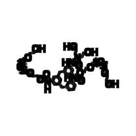 C[Si](C)(COCCO)O[Si](C)(C)COCCOC(=O)Nc1cccc(Cc2cc(Cc3cccc(NC(=O)N(CCO)CCO)c3)cc(NC(=O)OCCOC[Si](C)(C)O[Si](C)(C)COCCO)c2)c1